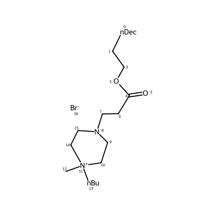 CCCCCCCCCCCCOC(=O)CCN1CC[N+](C)(CCCC)CC1.[Br-]